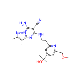 COCc1cc(C(C)(C)O)cc(CCNc2nc3c(C)c(C)nn3c(N)c2C#N)n1